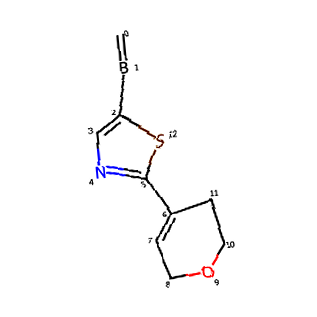 C=Bc1cnc(C2=CCOCC2)s1